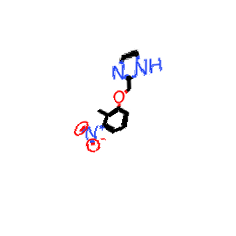 Cc1c(OCC2=NCCN2)cccc1[N+](=O)[O-]